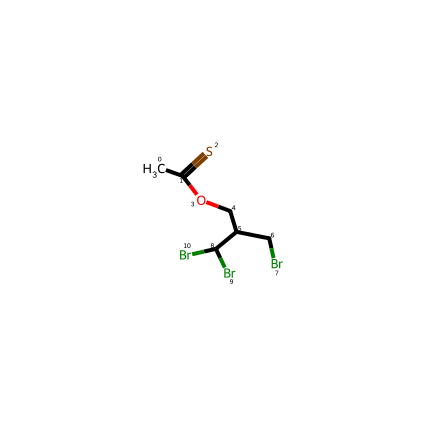 CC(=S)OCC(CBr)C(Br)Br